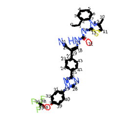 CCc1ccccc1-n1c(C)cs/c1=N\C(=O)N/C=C(\C#N)c1ccc(-c2ncn(-c3ccc(OC(F)(F)F)cc3)n2)cc1